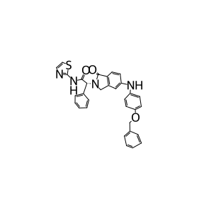 O=C(Nc1nccs1)[C@@H](c1ccccc1)N1Cc2cc(Nc3ccc(OCc4ccccc4)cc3)ccc2C1=O